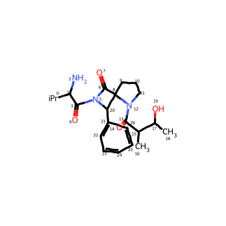 CC(C)C(N)C(=O)N1C(=O)C2(CCCN2C(=O)C(C)C(C)O)C1c1ccccc1